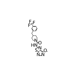 COc1ncnc2sc(NC(=O)N3CCC(Cc4cccc(C(F)(F)F)c4)CC3)nc12